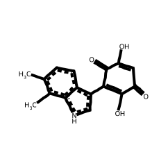 Cc1ccc2c(C3=C(O)C(=O)C=C(O)C3=O)c[nH]c2c1C